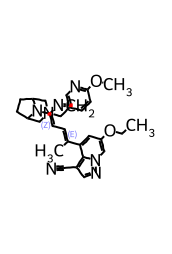 C=N/C(=C\C=C(/C)c1cc(OCC)cn2ncc(C#N)c12)N1C2CCC1CN(Cc1ccc(OC)nc1)C2